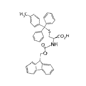 Cc1ccc(C(SC[C@H](NC(=O)OCC2c3ccccc3-c3ccccc32)C(=O)O)(c2ccccc2)c2ccccc2)cc1